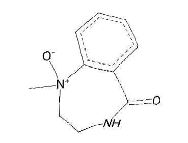 C[N+]1([O-])CCNC(=O)c2ccccc21